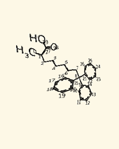 CC(CCCCCCC(c1ccccc1)(c1ccccc1)c1ccccc1)C(=O)O